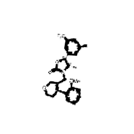 COc1ccccc1C1=C(CN2C(=O)O[C@H](c3cc(C)cc(C(F)(F)F)c3)[C@@H]2C)COCC1